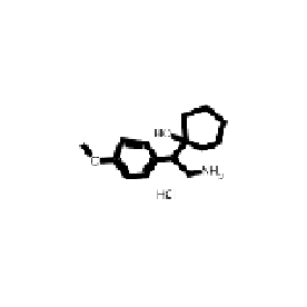 COc1ccc(C(CN)C2(O)CCCCC2)cc1.Cl